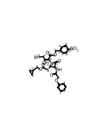 O=C(COc1ccccc1)NC1C(=O)N(C(C(=O)OCc2ccc([N+](=O)[O-])cc2)=C(O)CBr)C1SC(=O)OCC1CC1